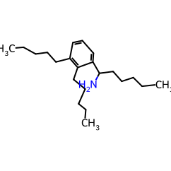 CCCCCc1cccc(C(N)CCCCC)c1CCCCC